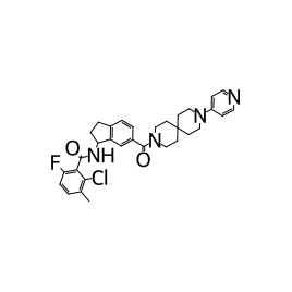 Cc1ccc(F)c(C(=O)NC2CCc3ccc(C(=O)N4CCC5(CC4)CCN(c4ccncc4)CC5)cc32)c1Cl